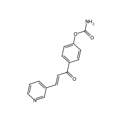 NC(=O)Oc1ccc(C(=O)/C=C/c2cccnc2)cc1